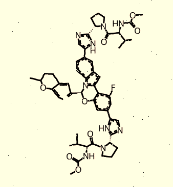 C=C(/C=C1/CCC(C)O/C1=C/C)[C@@H]1Oc2cc(-c3cnc([C@@H]4CCCN4C(=O)[C@@H](NC(=O)OC)C(C)C)[nH]3)cc(F)c2-c2cc3cc(-c4cnc([C@@H]5CCCN5C(=O)[C@@H](NC(=O)OC)C(C)C)[nH]4)ccc3n21